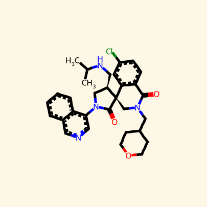 CC(C)NC[C@@H]1CN(c2cncc3ccccc23)C(=O)[C@]12CN(CC1CCOCC1)C(=O)c1ccc(Cl)cc12